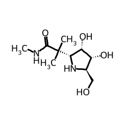 CNC(=O)C(C)(C)[C@H]1N[C@H](CO)[C@@H](O)[C@H]1O